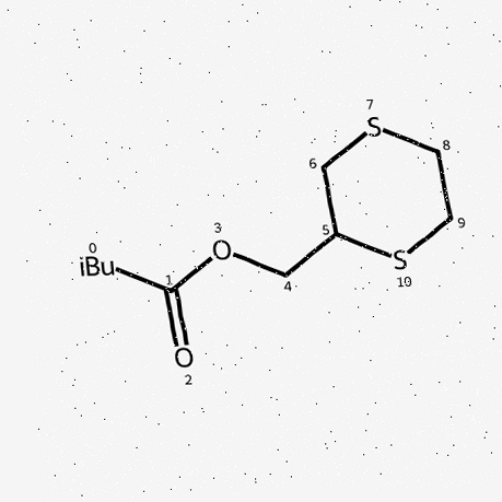 CCC(C)C(=O)OCC1CSCCS1